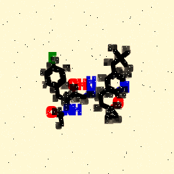 CC(=O)N[C@@H](Cc1ccc(F)cc1)[C@@H](O)CN[C@H]1CC2(CC2)Oc2ncc(CC(C)(C)C)cc21